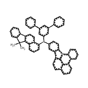 CC1(C)c2ccccc2-c2ccc3c(N(c4cc(-c5ccccc5)cc(-c5ccccc5)c4)c4ccc5c(c4)c4ccc6cccc7c8ccccc8n5c4c67)cccc3c21